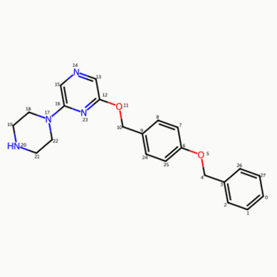 c1ccc(COc2ccc(COc3cncc(N4CCNCC4)n3)cc2)cc1